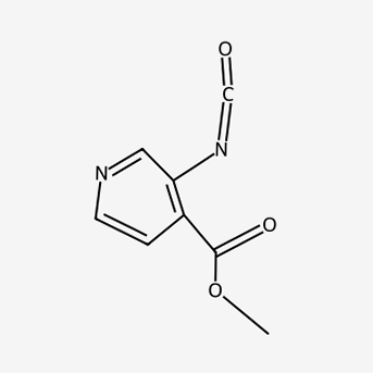 COC(=O)c1ccncc1N=C=O